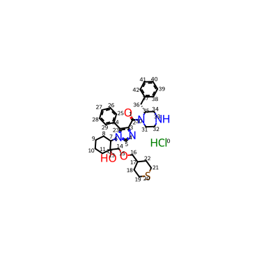 Cl.O=C(c1ncn(C2CCCCC2(O)COCC2CCSCC2)c1-c1ccccc1)N1CCNC[C@H]1Cc1ccccc1